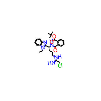 CCn1c([C@H](CCCNC(=N)CCl)NC(=O)c2ccccc2C(=O)OC(C)(C)C)nc2ccccc21